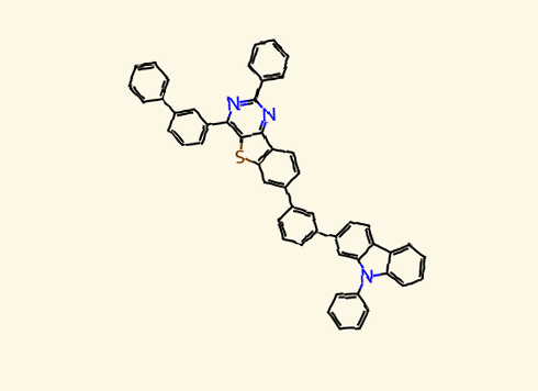 c1ccc(-c2cccc(-c3nc(-c4ccccc4)nc4c3sc3cc(-c5cccc(-c6ccc7c8ccccc8n(-c8ccccc8)c7c6)c5)ccc34)c2)cc1